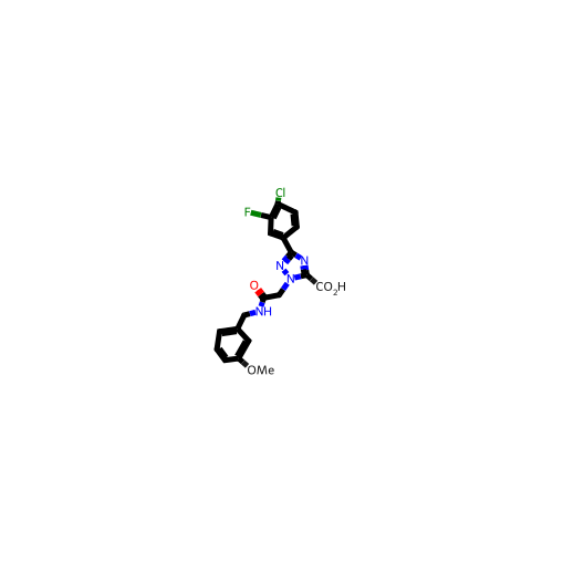 COc1cccc(CNC(=O)Cn2nc(-c3ccc(Cl)c(F)c3)nc2C(=O)O)c1